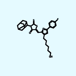 O=C1C(=Cc2oc(-c3ccc(F)cc3)cc2CCCCCCO)SC(=S)N1C1C2CC3CC(C2)CC1C3